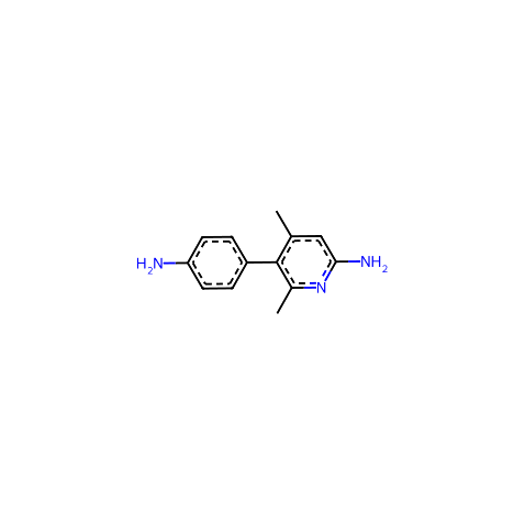 Cc1cc(N)nc(C)c1-c1ccc(N)cc1